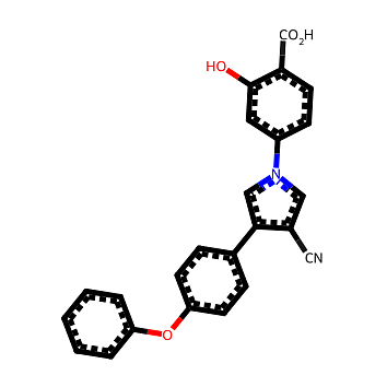 N#Cc1cn(-c2ccc(C(=O)O)c(O)c2)cc1-c1ccc(Oc2ccccc2)cc1